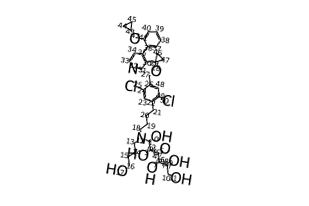 O=C([C@H](O)[C@@H](O)[C@H](O)[C@H](O)CO)N(CCCCO)CCCCc1cc(Cl)c(COC2(c3cnccc3-c3ccccc3OC3CC3)CC2)cc1Cl